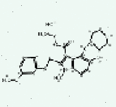 CCOC(=O)c1c(CSc2cccc(OC)c2)n(C)c2ccc(O)c(CN3CCOCC3)c12.Cl